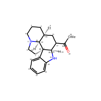 CC[C@]12CCCN3CC[C@]4(c5ccccc5N[C@@H]4C(C(=O)OC)C1)[C@@H]32